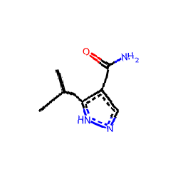 CC(C)c1[nH]ncc1C(N)=O